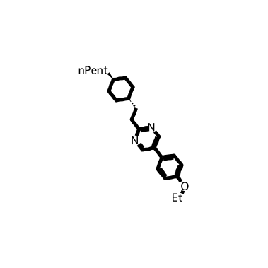 CCCCC[C@H]1CC[C@H](CCc2ncc(-c3ccc(OCC)cc3)cn2)CC1